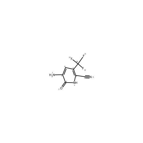 N#Cc1[nH]c(=O)c(N)cc1C(F)(F)F